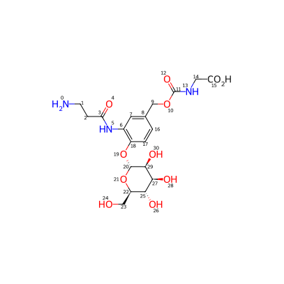 NCCC(=O)Nc1cc(COC(=O)NCC(=O)O)ccc1O[C@H]1O[C@H](CO)[C@@H](O)[C@H](O)[C@@H]1O